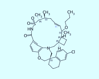 CCCO[C@]1(C)/C=C/C[C@H](C)[C@@H](C)S(=O)(=O)NC(=O)c2ccc3c(c2)N(C[C@@H]2CC[C@H]21)C[C@@]1(CCCc2cc(Cl)ccc21)CO3